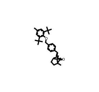 Cc1cc(C(C)(C)C)c(OCc2ccc(C=C3C(=O)C4(C)CCC3C4(C)C)cc2)c(C(C)(C)C)c1